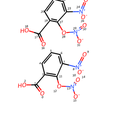 O=C(O)c1cccc([N+](=O)[O-])c1O[N+](=O)[O-].O=C(O)c1cccc([N+](=O)[O-])c1O[N+](=O)[O-]